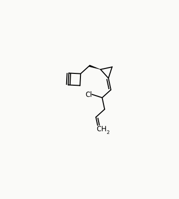 C=CCC(Cl)/C=C1/C[C@@H]1CC1C#CC1